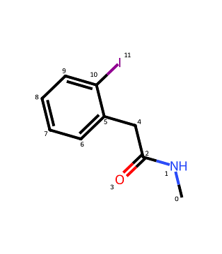 CNC(=O)Cc1ccccc1I